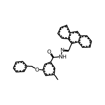 Cc1cc(OCc2ccccc2)cc(C(=O)N/N=C/c2c3ccccc3cc3ccccc23)c1